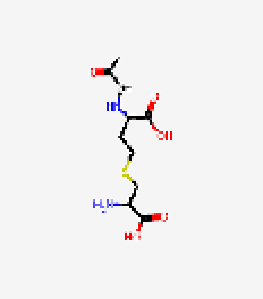 CC(=O)[Se]NC(CCSCC(N)C(=O)O)C(=O)O